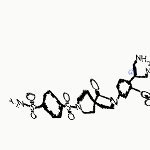 COc1cc(N2CCC3(CCN(S(=O)(=O)c4ccc(S(N)(=O)=O)cc4)CC3)C2=O)ccc1/C(C=N)=C/N